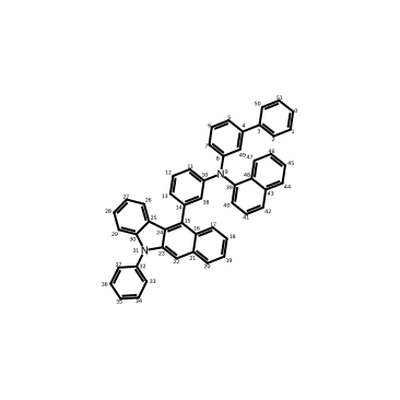 c1ccc(-c2cccc(N(c3cccc(-c4c5ccccc5cc5c4c4ccccc4n5-c4ccccc4)c3)c3cccc4ccccc34)c2)cc1